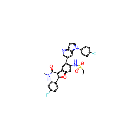 CCS(=O)(=O)Nc1cc2oc(-c3ccc(F)cc3)c(C(=O)NC)c2cc1-c1cnc2ccn(-c3ccc(F)cc3)c2c1